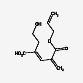 C=CCOC(=O)C(=C)C=C(CCO)C(=O)O